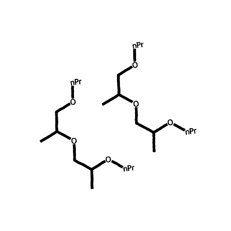 CCCOCC(C)OCC(C)OCCC.CCCOCC(C)OCC(C)OCCC